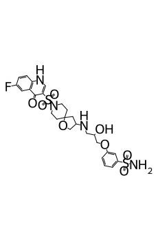 NS(=O)(=O)c1cccc(OCC(O)CNC2COC3(CCN(S(=O)(=O)c4c[nH]c5ccc(F)cc5c4=O)CC3)C2)c1